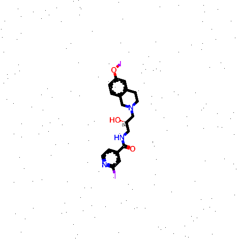 O=C(NC[C@H](O)CN1CCc2cc(OI)ccc2C1)c1ccnc(I)c1